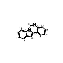 c1ccc2c(c1)cc1c3ccccc3ncn21